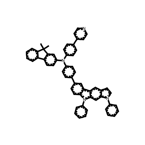 CC1(C)c2ccccc2-c2ccc(N(c3ccc(-c4ccncc4)cc3)c3ccc(-c4ccc5c(c4)c4cc6ccn(-c7ccccc7)c6cc4n5-c4ccccc4)cc3)cc21